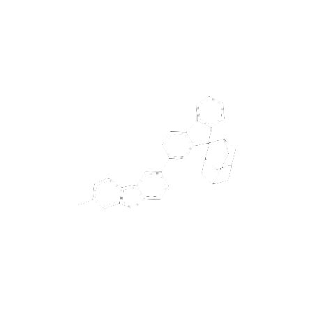 Clc1ccc2c(c1)oc1ccc(-c3ccc4c(c3)C3(c5ccccc5-4)C4CC5CC(C4)CC3C5)cc12